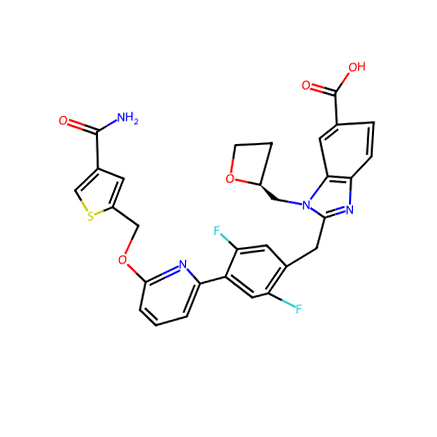 NC(=O)c1csc(COc2cccc(-c3cc(F)c(Cc4nc5ccc(C(=O)O)cc5n4C[C@@H]4CCO4)cc3F)n2)c1